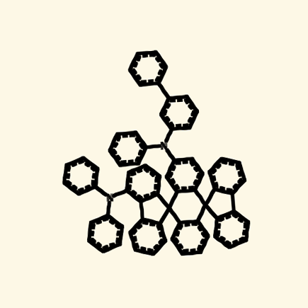 c1ccc(-c2cccc(N(c3ccccc3)c3ccc4c(c3)C3(c5ccccc5-c5c(N(c6ccccc6)c6ccccc6)cccc53)c3ccccc3C43c4ccccc4-c4ccccc43)c2)cc1